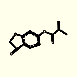 C=C(C)C(=O)Oc1ccc2c(c1)OCC2=O